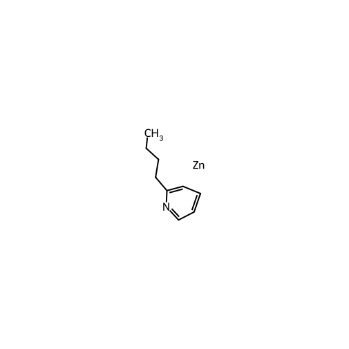 CCCCc1ccccn1.[Zn]